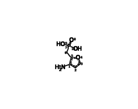 Nc1ccoc1CP(=O)(O)O